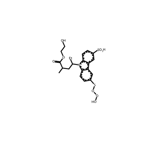 CCC(CC(C)C(=O)OCCO)n1c2ccc(SOOO)cc2c2cc(S(=O)(=O)O)ccc21